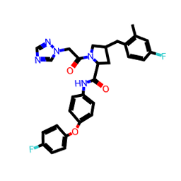 Cc1cc(F)ccc1CC1CC(C(=O)Nc2ccc(Oc3ccc(F)cc3)cc2)N(C(=O)Cn2cncn2)C1